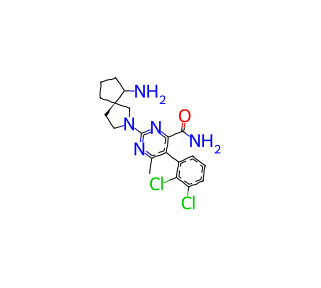 Cc1nc(N2CC[C@]3(CCCC3N)C2)nc(C(N)=O)c1-c1cccc(Cl)c1Cl